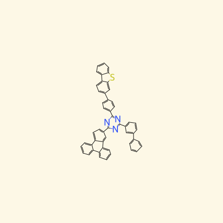 c1ccc(-c2cccc(-c3nc(-c4ccc(-c5ccc6c(c5)sc5ccccc56)cc4)nc(-c4ccc5c6ccccc6c6ccccc6c5c4)n3)c2)cc1